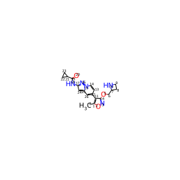 Cc1onc(OCC2CCN2)c1-c1ccn2nc(NC(=O)C3CC3)cc2c1